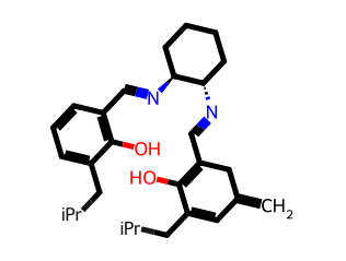 C=C1C=C(CC(C)C)C(O)=C(C=N[C@H]2CCCC[C@@H]2N=Cc2cccc(CC(C)C)c2O)C1